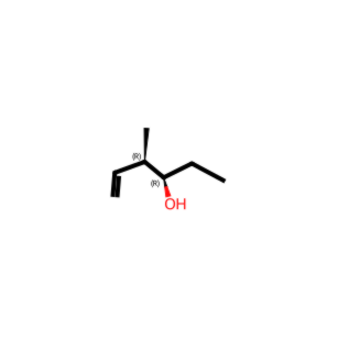 C=C[C@@H](C)[C@H](O)CC